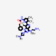 CCCCN(CCN)c1nc(N2CC(N(CC)CC)C2)nc2c(CF)c(-c3nc(NC(=O)OCc4ccccc4)cc(C)c3C(F)(F)F)ncc12